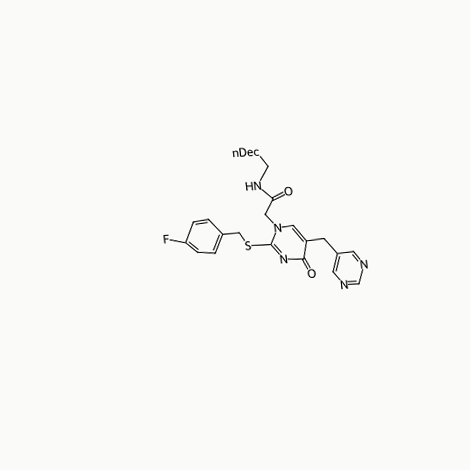 CCCCCCCCCCCNC(=O)Cn1cc(Cc2cncnc2)c(=O)nc1SCc1ccc(F)cc1